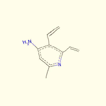 C=Cc1nc(C)cc(N)c1C=C